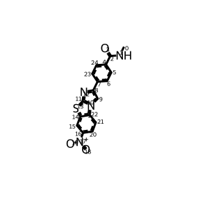 CNC(=O)c1ccc(-c2cn3c(n2)sc2cc([N+](=O)[O-])ccc23)cc1